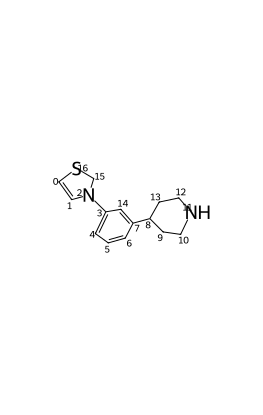 C1=CN(c2cccc(C3CCNCC3)c2)CS1